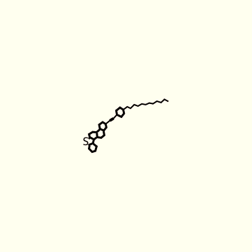 CCCCCCCCCCCCc1ccc(C#Cc2ccc3c(ccc4c3ccc3sc5ccccc5c34)c2)cc1